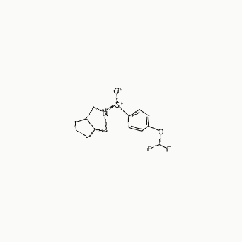 [O-][S+](c1ccc(OC(F)F)cc1)N1CC2CCCC2C1